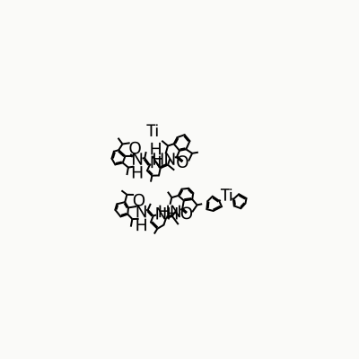 CC1=CC(=C(C)NC(=O)c2c(C(C)C)cccc2C(C)C)NC(=C(C)NC(=O)c2c(C(C)C)cccc2C(C)C)C1.CC1=CC(=C(C)NC(=O)c2c(C(C)C)cccc2C(C)C)NC(=C(C)NC(=O)c2c(C(C)C)cccc2C(C)C)C1.[Ti].c1cc[c]([Ti][c]2ccccc2)cc1